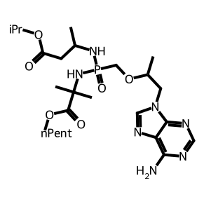 CCCCCOC(=O)C(C)(C)NP(=O)(COC(C)Cn1cnc2c(N)ncnc21)NC(C)CC(=O)OC(C)C